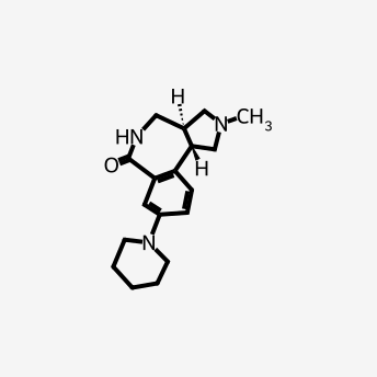 CN1C[C@@H]2CNC(=O)c3cc(N4CCCCC4)ccc3[C@H]2C1